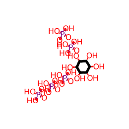 O=P(O)(O)O.O=P(O)(O)O.O=P(O)(O)O.O=P(O)(O)O.O=P(O)(O)O.O[C@H]1[C@H](O)[C@@H](O)[C@H](O)[C@@H](O)[C@H]1O